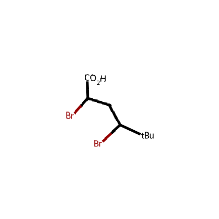 CC(C)(C)C(Br)CC(Br)C(=O)O